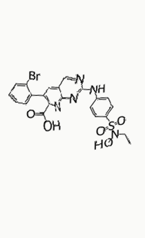 CCN(O)S(=O)(=O)c1ccc(Nc2ncc3cc(-c4ccccc4Br)c(C(=O)O)nc3n2)cc1